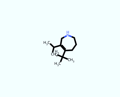 CC(C)C1=C(C(C)(C)C)CCCNC1